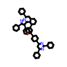 c1ccc(-c2cc(-c3ccc(-c4cccc(-c5cccc6cc(-c7ccccc7)n7nc(-c8ccccc8)c(-c8ccccc8)c7c56)c4)cc3)nc(-c3ccccc3)n2)cc1